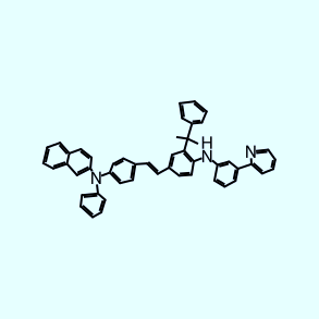 CC(C)(c1ccccc1)c1cc(/C=C/c2ccc(N(c3ccccc3)c3ccc4ccccc4c3)cc2)ccc1Nc1cccc(-c2ccccn2)c1